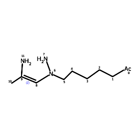 CC(=O)CCCCCN(N)/C=C(/C)N